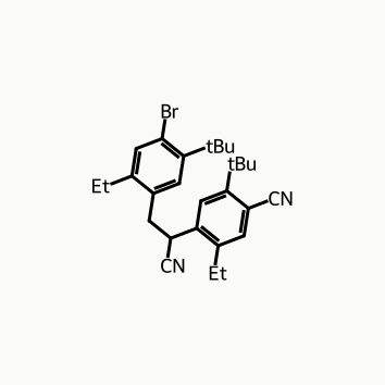 CCc1cc(Br)c(C(C)(C)C)cc1CC(C#N)c1cc(C(C)(C)C)c(C#N)cc1CC